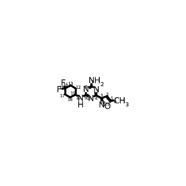 Cc1cc(-c2nc(N)nc(NC3CCC(F)(F)CC3)n2)no1